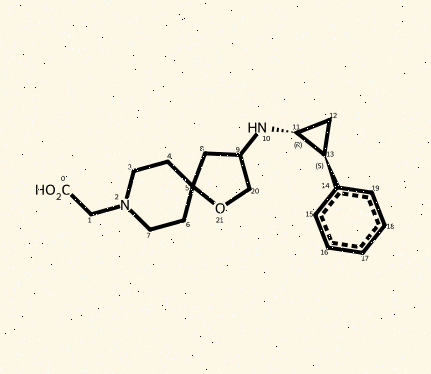 O=C(O)CN1CCC2(CC1)CC(N[C@@H]1C[C@H]1c1ccccc1)CO2